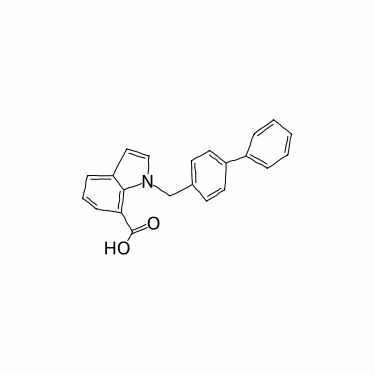 O=C(O)c1cccc2ccn(Cc3ccc(-c4ccccc4)cc3)c12